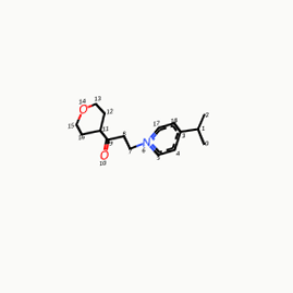 CC(C)c1cc[n+](CCC(=O)C2CCOCC2)cc1